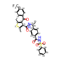 Cc1sc(C)c(C(=O)c2ccc(C(F)(F)F)cc2)c1C(=O)N[C@@H](C)c1ccc(C(=O)NS(=O)(=O)c2ccccc2)cc1